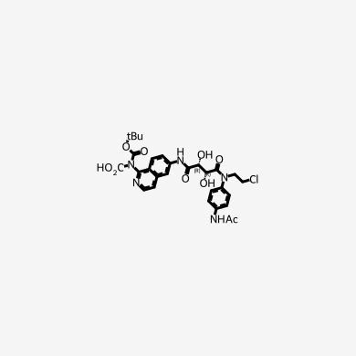 CC(=O)Nc1ccc(N(CCCl)C(=O)[C@H](O)[C@@H](O)C(=O)Nc2ccc3c(N(C(=O)O)C(=O)OC(C)(C)C)nccc3c2)cc1